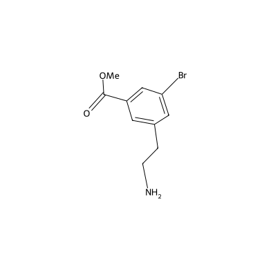 COC(=O)c1cc(Br)cc(CCN)c1